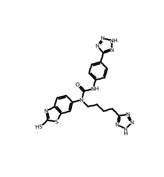 O=C(Nc1ccc(-c2nn[nH]n2)cc1)N(CCCCc1nn[nH]n1)c1ccc2nc(S)sc2c1